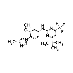 COc1cc(Nc2nc(C(C)(C)C)cc(C(F)(F)F)n2)ccc1-n1cnc(C)c1